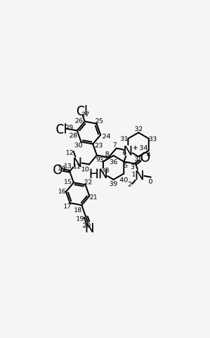 CN(C)C(=O)C1([N+]2(CCC(CN(C)C(=O)c3ccc(C#N)cc3)c3ccc(Cl)c(Cl)c3)CCCCC2)CCNCC1